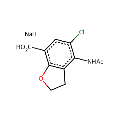 CC(=O)Nc1c(Cl)cc(C(=O)O)c2c1CCO2.[NaH]